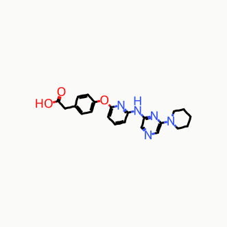 O=C(O)Cc1ccc(Oc2cccc(Nc3cncc(N4CCCCC4)n3)n2)cc1